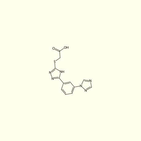 O=C(O)CSc1nnc(-c2cccc(-n3cncn3)c2)[nH]1